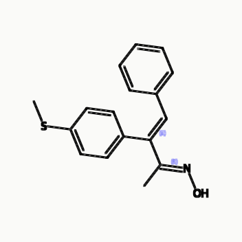 CSc1ccc(C(=C\c2ccccc2)/C(C)=N/O)cc1